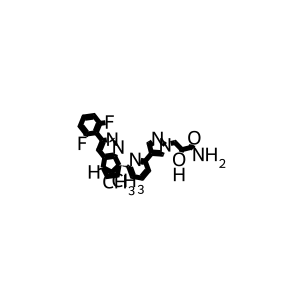 CC1(C)[C@H]2CC[C@]1(c1cccc(-c3cnn(CC(O)C(N)=O)c3)n1)c1nnc(-c3c(F)cccc3F)cc12